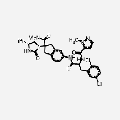 CNC(=O)C1(N2C[C@@H](C(C)C)NC2=O)Cc2ccc(NC(=O)C(Cc3cc(Cl)ccc3Cl)NC(=O)c3ccnn3C)cc2C1